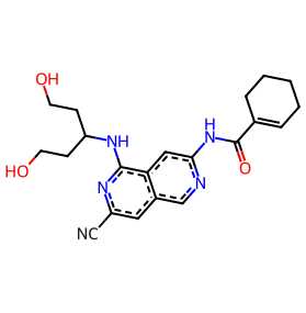 N#Cc1cc2cnc(NC(=O)C3=CCCCC3)cc2c(NC(CCO)CCO)n1